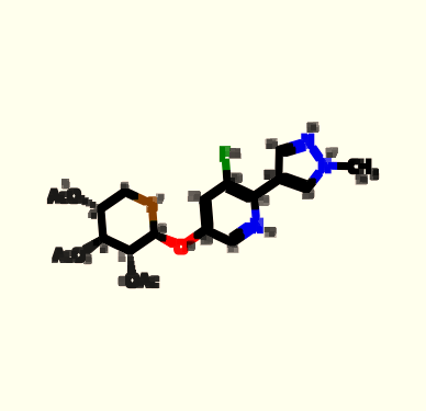 CC(=O)O[C@@H]1[C@@H](OC(C)=O)[C@H](OC(C)=O)CS[C@H]1Oc1cnc(-c2cnn(C)c2)c(F)c1